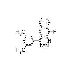 Cc1cc(C)cc(-c2nnnc3c(F)c4ccccc4cc23)c1